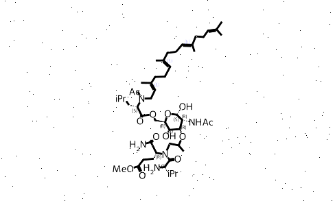 COC(=O)CC[C@H](C(N)=O)N(CC(C)O[C@H]1[C@H](O)[C@@H](COC(=O)[C@H](CC(C)C)N(C/C=C(\C)CC/C=C(\C)CC/C=C(\C)CCC=C(C)C)C(C)=O)O[C@H](O)[C@@H]1NC(C)=O)C(=O)[C@@H](N)C(C)C